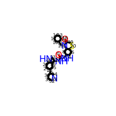 O=C(Nc1ccc2c(c1)N(Cc1ccccc1)C(=O)CS2)Nc1c[nH]c2ccc(-c3cccnc3)cc12